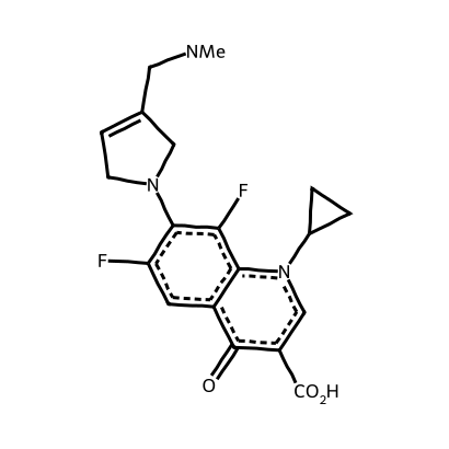 CNCC1=CCN(c2c(F)cc3c(=O)c(C(=O)O)cn(C4CC4)c3c2F)C1